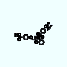 O=C(O)c1ccc(OCCOc2ccccc2NS(=O)(=O)c2ccc(OC(F)(F)F)cc2)cc1